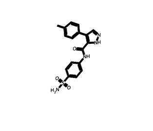 Cc1ccc(-c2cn[nH]c2C(=O)Nc2ccc(S(N)(=O)=O)cc2)cc1